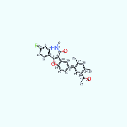 CNC(=O)c1c(-c2ccc(F)cc2)oc2ccc(-c3cc(C(C)=O)c(C)cc3C)cc12